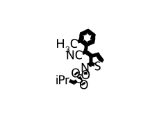 Cc1ccccc1/C(C#N)=C1\C=CS\C1=N/OS(=O)(=O)CC(C)C